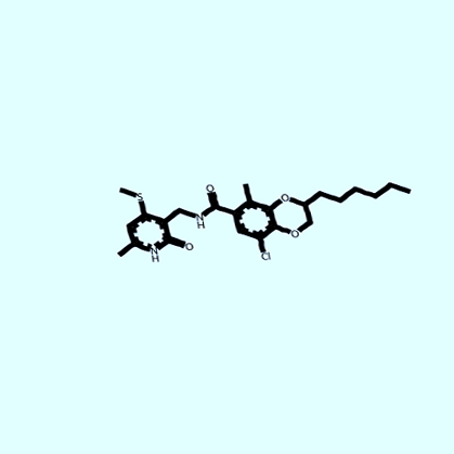 CCCCCCC1COc2c(Cl)cc(C(=O)NCc3c(SC)cc(C)[nH]c3=O)c(C)c2O1